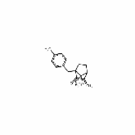 C=C1C(=O)C2(Cc3ccc(C)cc3)CCC1C2(C)C